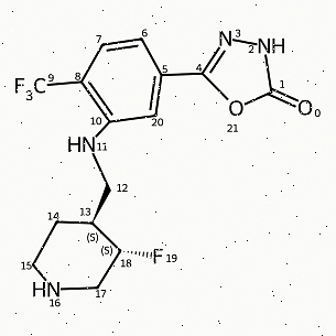 O=c1[nH]nc(-c2ccc(C(F)(F)F)c(NC[C@@H]3CCNC[C@H]3F)c2)o1